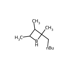 CCCCCC1(C)BC(C)C1C